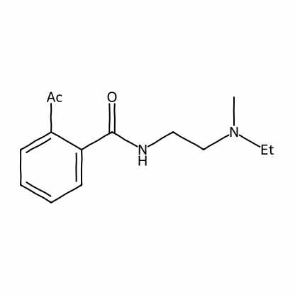 CCN(C)CCNC(=O)c1ccccc1C(C)=O